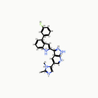 Cc1ncc(-c2cnc3[nH]nc(-c4cc5c(-c6cccc(F)c6)cccc5[nH]4)c3c2)n1C